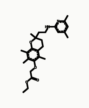 CCOC(=O)COc1c(C)c(C)c2c(c1C)CCC(C)(CCNc1cc(C)cc(C)n1)O2